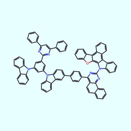 c1ccc(-c2cc(-c3ccccc3)nc(-c3cc(-n4c5ccccc5c5ccccc54)cc(-n4c5ccccc5c5cc(-c6ccc(-c7nc(-n8c9ccccc9c9c%10ccccc%10c%10c%11ccccc%11oc%10c98)nc8c7ccc7ccccc78)cc6)ccc54)c3)n2)cc1